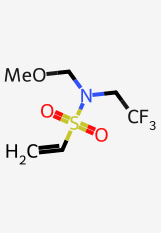 C=CS(=O)(=O)N(COC)CC(F)(F)F